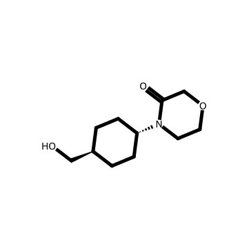 O=C1COCCN1[C@H]1CC[C@H](CO)CC1